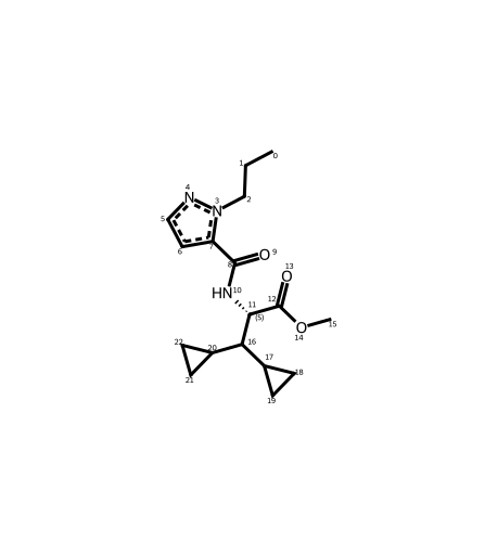 CCCn1nccc1C(=O)N[C@H](C(=O)OC)C(C1CC1)C1CC1